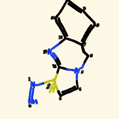 N=N[SH]1C=CN2Cc3ccccc3N=C21